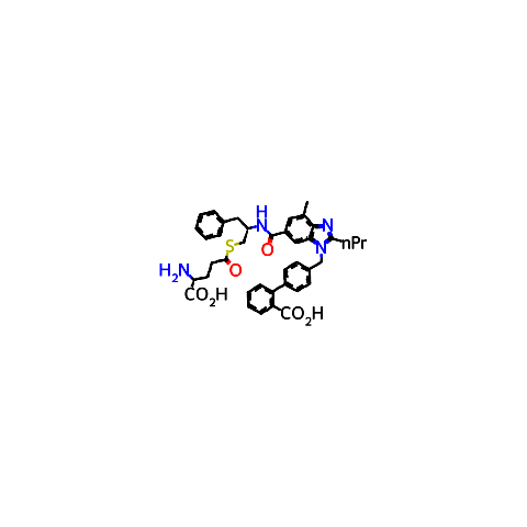 CCCc1nc2c(C)cc(C(=O)N[C@@H](CSC(=O)CC[C@H](N)C(=O)O)Cc3ccccc3)cc2n1Cc1ccc(-c2ccccc2C(=O)O)cc1